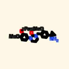 CCCCCOc1cc(N2CCCN(Cc3ccc(C4(N)CC4)cc3OC)C2=O)ccc1OC